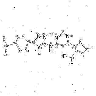 Cc1cc(C(F)F)n(-c2cc(Nc3c(C)c(-c4ccc(C(F)F)cc4)nn3C)ncn2)n1